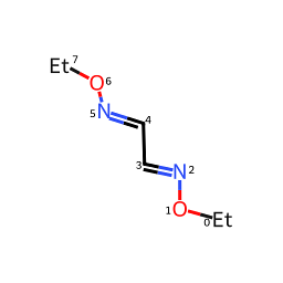 CCON=CC=NOCC